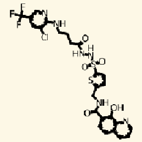 O=C(CCCNc1ncc(C(F)(F)F)cc1Cl)NNS(=O)(=O)c1ccc(CNC(=O)c2ccc3cccnc3c2O)s1